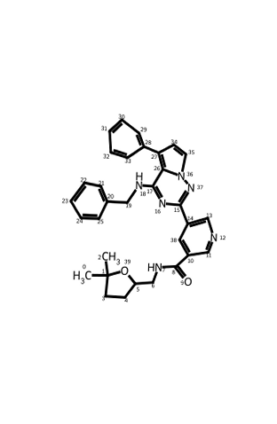 CC1(C)CCC(CNC(=O)c2cncc(-c3nc(NCc4ccccc4)c4c(-c5ccccc5)ccn4n3)c2)O1